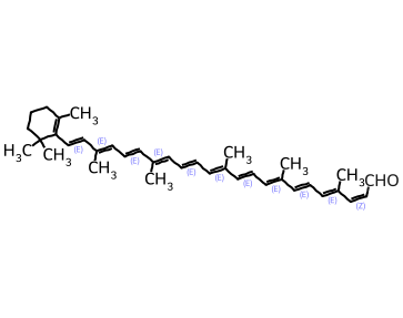 CC1=C(/C=C/C(C)=C/C=C/C(C)=C/C=C/C=C(C)/C=C/C=C(C)/C=C/C=C(C)/C=C\C=O)C(C)(C)CCC1